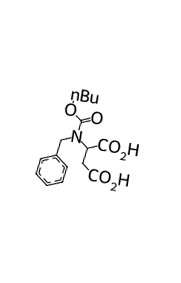 CCCCOC(=O)N(Cc1ccccc1)C(CC(=O)O)C(=O)O